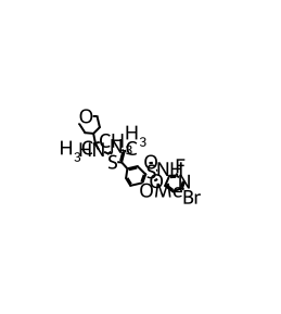 COc1ccc(-c2sc(NC(C)(C)C3CCOCC3)nc2C)cc1S(=O)(=O)Nc1ccc(Br)nc1F